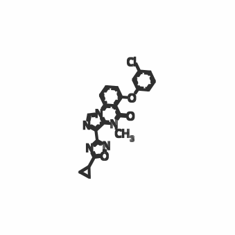 Cn1c(=O)c2c(Oc3cccc(Cl)c3)cccc2n2cnc(-c3noc(C4CC4)n3)c12